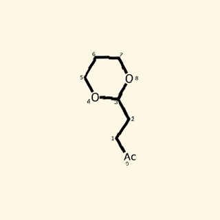 CC(=O)CCC1OCCCO1